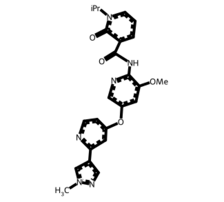 COc1cc(Oc2ccnc(-c3cnn(C)c3)c2)cnc1NC(=O)c1cccn(C(C)C)c1=O